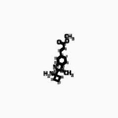 COC(=O)C=Cc1ccc2c(c1)nc(C1(N)CCC1)n2C